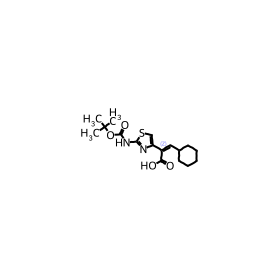 CC(C)(C)OC(=O)Nc1nc(/C(=C/C2CCCCC2)C(=O)O)cs1